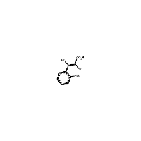 CCc1ccccc1C(=C(C(=O)O)C(C)C)C(C)C